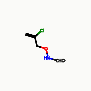 C=C(Cl)CON[C]=O